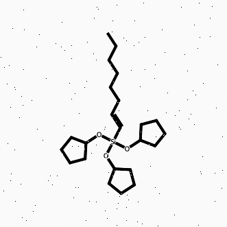 CCCCCCC=C[Si](OC1CCCC1)(OC1CCCC1)OC1CCCC1